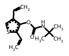 C=Cc1csc(C=C)c1OC(=O)NC(C)(C)C